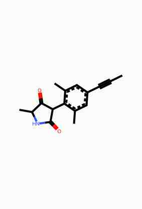 CC#Cc1cc(C)c(C2C(=O)NC(C)C2=O)c(C)c1